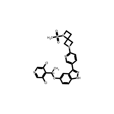 C[C@@H](Oc1ccc2[nH]nc(-c3ccc(N4CC5(CCN5S(C)(=O)=O)C4)nc3)c2c1)c1c(Cl)cncc1Cl